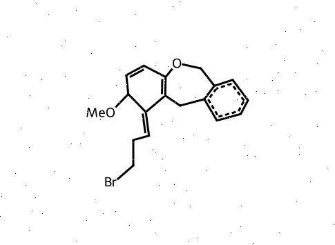 COC1C=CC2=C(Cc3ccccc3CO2)C1=CCCBr